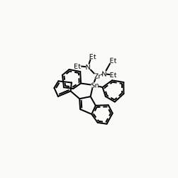 CC[N](CC)[Zr]([N](CC)CC)[Sn]([c]1ccccc1)([c]1ccccc1)[CH]1C(C2=CC=CC2)=Cc2ccccc21